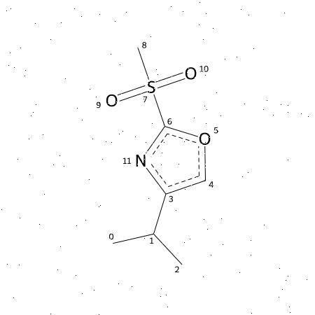 CC(C)c1coc(S(C)(=O)=O)n1